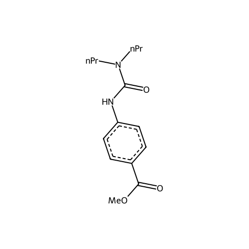 CCCN(CCC)C(=O)Nc1ccc(C(=O)OC)cc1